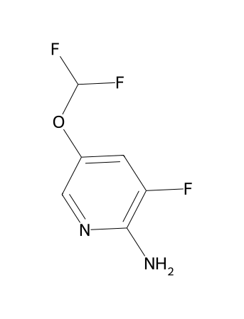 Nc1ncc(OC(F)F)cc1F